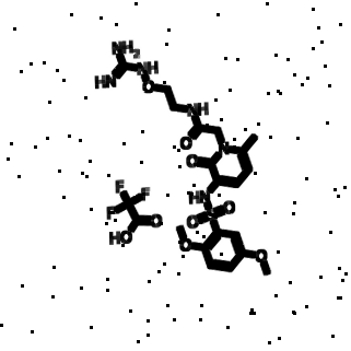 COc1ccc(OC)c(S(=O)(=O)Nc2ccc(C)n(CC(=O)NCCONC(=N)N)c2=O)c1.O=C(O)C(F)(F)F